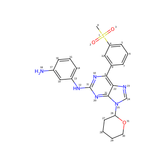 CS(=O)(=O)c1cccc(-c2nc(Nc3cccc(N)c3)nc3c2ncn3C2CCCCO2)c1